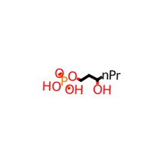 CCCC(O)CCOP(=O)(O)O